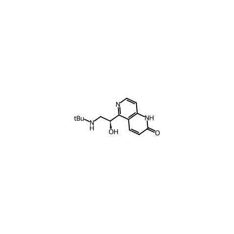 CC(C)(C)NC[C@H](O)c1nccc2[nH]c(=O)ccc12